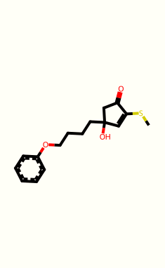 CSC1=CC(O)(CCCCOc2ccccc2)CC1=O